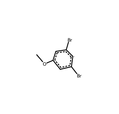 COc1cc(Br)[c]c(Br)c1